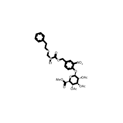 CCN(CSCCc1ccccc1)C(=O)OCc1ccc(O[C@@H]2O[C@H](C(=O)OC)[C@@H](OC(C)=O)[C@H](OC(C)=O)[C@H]2OC(C)=O)c([N+](=O)[O-])c1